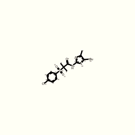 Cc1nc(NC(=O)C(C)(C)S(=O)(=O)c2ccc(Cl)cc2)sc1C(C)(C)C